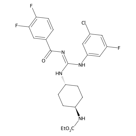 CCOC(=O)N[C@H]1CC[C@H](N/C(=N\C(=O)c2ccc(F)c(F)c2)Nc2cc(F)cc(Cl)c2)CC1